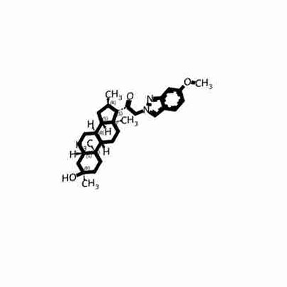 COc1ccc2cn(CC(=O)[C@H]3[C@H](C)C[C@H]4[C@@H]5CC[C@H]6C[C@](C)(O)CC[C@]6(C)[C@H]5CC[C@@]43C)nc2c1